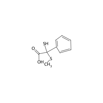 CSC(S)(C(=O)O)c1ccccc1